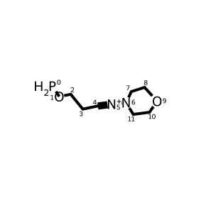 POCCC#[N+]N1CCOCC1